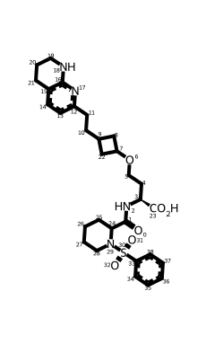 O=C(N[C@@H](CCOC1CC(CCc2ccc3c(n2)NCCC3)C1)C(=O)O)C1CCCCN1S(=O)(=O)c1ccccc1